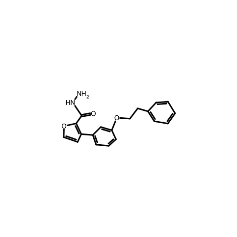 NNC(=O)c1occc1-c1cccc(OCCc2ccccc2)c1